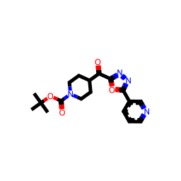 CC(C)(C)OC(=O)N1CCC(C(=O)c2nnc(-c3cccnc3)o2)CC1